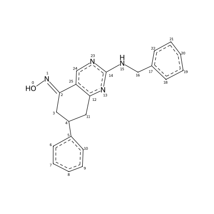 O/N=C1\CC(c2ccccc2)Cc2nc(NCc3ccccc3)ncc21